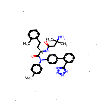 COc1ccc(N(C(=O)[C@@H](CCc2ccccc2C)NC(=O)CC(C)(C)N)c2ccc(-c3ccccc3-c3nnn[nH]3)cc2)cc1